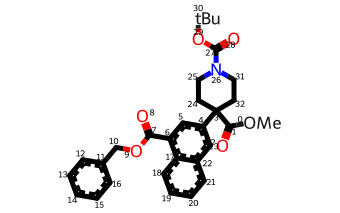 COC(=O)C1(c2cc(C(=O)OCc3ccccc3)c3ccccc3c2)CCN(C(=O)OC(C)(C)C)CC1